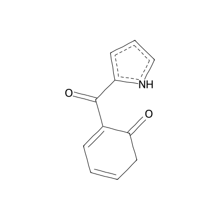 O=C1CC=CC=C1C(=O)c1ccc[nH]1